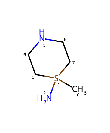 CS1(N)CCNCC1